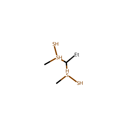 CCC([SH](C)S)[SH](C)S